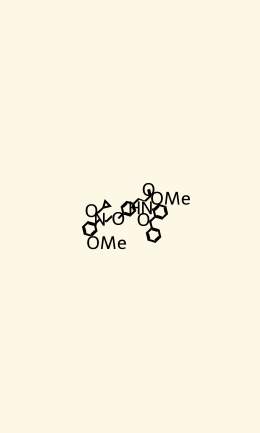 COC(=O)[C@H](Cc1ccc(OCCN(C(=O)C2CC2)c2cccc(OC)c2)cc1)Nc1ccccc1C(=O)c1ccccc1